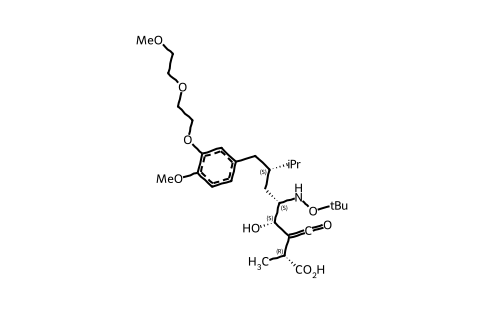 COCCOCCOc1cc(C[C@@H](C[C@H](NOC(C)(C)C)[C@@H](O)C(=C=O)[C@@H](C)C(=O)O)C(C)C)ccc1OC